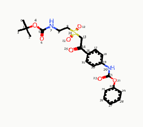 CC(C)(C)OC(=O)NCCS(=O)(=O)CC(=O)c1ccc(NC(=O)Oc2ccccc2)cc1